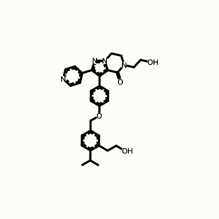 CC(C)c1ccc(COc2ccc(-c3c(-c4ccncc4)nn4c3C(=O)N(CCO)CC4)cc2)cc1CCO